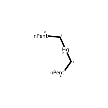 CCCCC[CH2][Hg][CH2]CCCCC